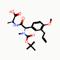 C=CCc1cc([C@@H](C(=O)N[C@@H](C)C(=O)O)N(C)C(=O)OC(C)(C)C)ccc1OC